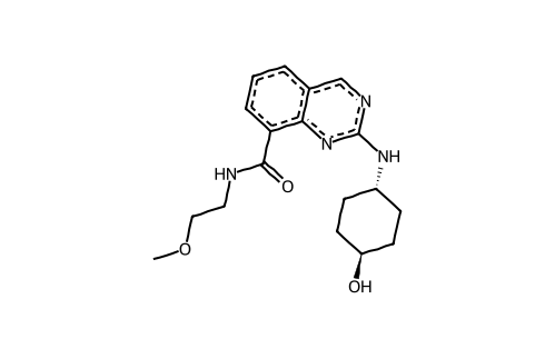 COCCNC(=O)c1cccc2cnc(N[C@H]3CC[C@H](O)CC3)nc12